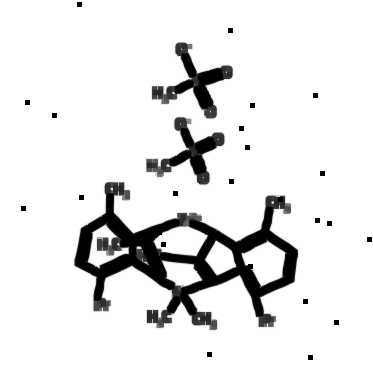 CC1=C2c3c(C(C)C)ccc(C)c3[CH]1[Zr+2][CH]1C(C)=C(c3c(C(C)C)ccc(C)c31)[Si]2(C)C.CS(=O)(=O)[O-].CS(=O)(=O)[O-]